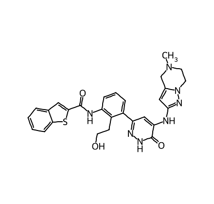 CN1CCn2nc(Nc3cc(-c4cccc(NC(=O)c5cc6ccccc6s5)c4CCO)n[nH]c3=O)cc2C1